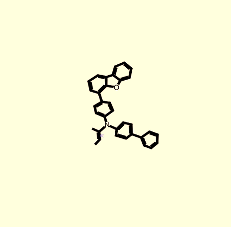 C/C=C(\C)N(c1ccc(-c2ccccc2)cc1)c1ccc(-c2cccc3c2oc2ccccc23)cc1